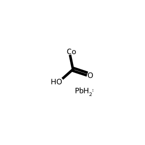 O=[C](O)[Co].[PbH2]